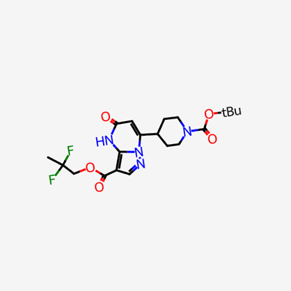 CC(F)(F)COC(=O)c1cnn2c(C3CCN(C(=O)OC(C)(C)C)CC3)cc(=O)[nH]c12